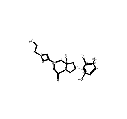 O=C1CN(C2CN(CCO)C2)C[C@@H]2C[C@H](c3c(O)ccc(Cl)c3Cl)CN12